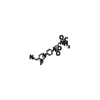 CC(=O)NCC1CN(c2ccc(N3CCC(=CC#N)[C@H](F)C3)cc2)C(=O)O1